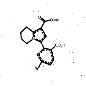 COC(=O)c1cc(-c2cc(Br)ccc2C(=O)O)n2c1CCCC2